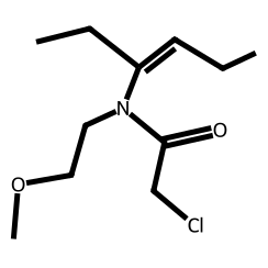 CCC=C(CC)N(CCOC)C(=O)CCl